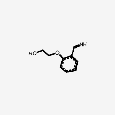 N=Cc1ccccc1OCCO